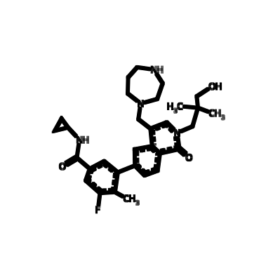 Cc1c(F)cc(C(=O)NC2CC2)cc1-c1ccc2c(=O)n(CC(C)(C)CO)cc(CN3CCCNCC3)c2c1